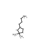 CC1(C)CCC(CCCN)C1